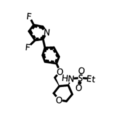 CCS(=O)(=O)N[C@@H]1CCOC[C@H]1COc1ccc(-c2ncc(F)cc2F)cc1